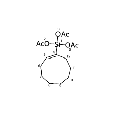 CC(=O)O[Si](OC(C)=O)(OC(C)=O)C1=CCCCCCCC1